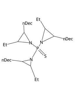 CCCCCCCCCCC1C(CC)N1P(=S)(N1C(CC)C1CCCCCCCCCC)N1C(CC)C1CCCCCCCCCC